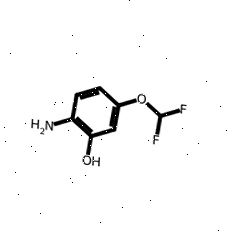 Nc1ccc(OC(F)F)cc1O